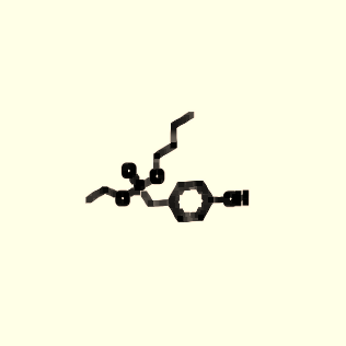 CCCCOP(=O)(Cc1ccc(O)cc1)OCC